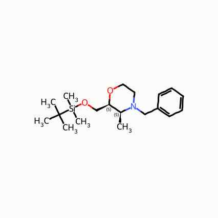 C[C@H]1[C@@H](CO[Si](C)(C)C(C)(C)C)OCCN1Cc1ccccc1